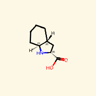 O=C(O)[C@H]1C[C@H]2CCCC[C@@H]2N1